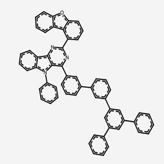 c1ccc(-c2cc(-c3ccccc3)cc(-c3cccc(-c4cccc(-c5nc(-c6cccc7oc8ccccc8c67)nc6c7ccccc7n(-c7ccccc7)c56)c4)c3)c2)cc1